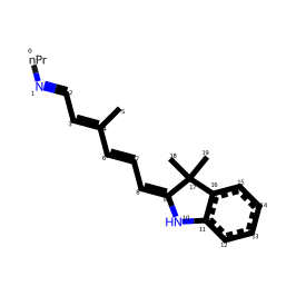 CCC/N=C/C=C(C)/C=C/C=C1/Nc2ccccc2C1(C)C